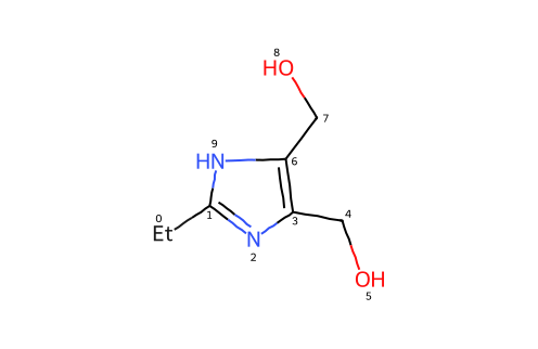 CCc1nc(CO)c(CO)[nH]1